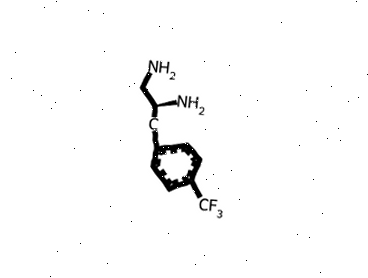 NC[C@@H](N)Cc1ccc(C(F)(F)F)cc1